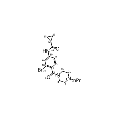 CCCN1CCN(C(=O)c2ccc(NC(=O)C3CC3)cc2Br)CC1